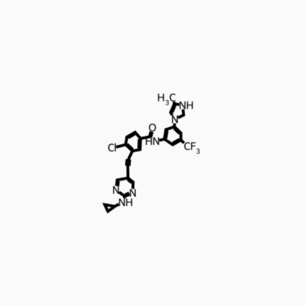 CC1=CN(c2cc(NC(=O)c3ccc(Cl)c(C#Cc4cnc(NC5CC5)nc4)c3)cc(C(F)(F)F)c2)CN1